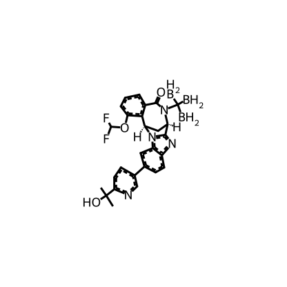 BC(B)(B)N1C(=O)c2cccc(OC(F)F)c2[C@H]2C[C@@H]1c1nc3ccc(-c4ccc(C(C)(C)O)nc4)cc3n12